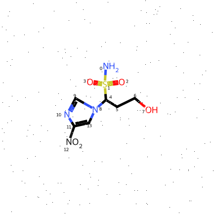 NS(=O)(=O)C(CCO)n1cnc([N+](=O)[O-])c1